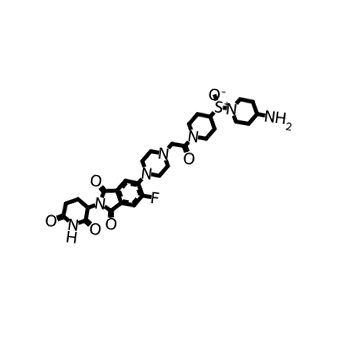 NC1CCN([S+]([O-])C2CCN(C(=O)CN3CCN(c4cc5c(cc4F)C(=O)N(C4CCC(=O)NC4=O)C5=O)CC3)CC2)CC1